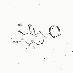 CCCCO[C@@H]1[C@@H](OC)O[C@@H]2CO[C@@H](c3ccccc3)O[C@H]2[C@@H]1O